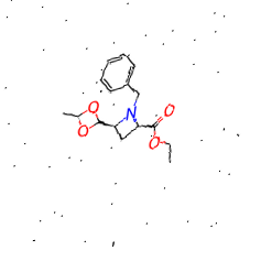 CCOC(=O)[C@H]1C[C@@H](C2OC(C)O2)N1Cc1ccccc1